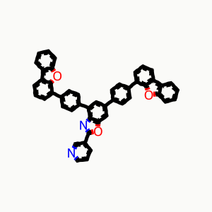 c1cncc(-c2nc3c(-c4ccc(-c5cccc6c5oc5ccccc56)cc4)cc(-c4ccc(-c5cccc6c5oc5ccccc56)cc4)cc3o2)c1